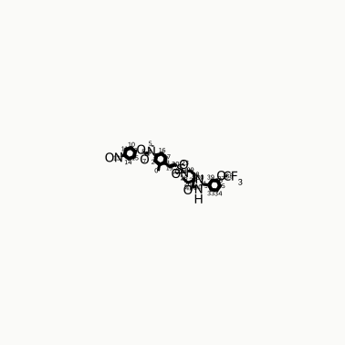 Cc1cc(N(C)C(=O)Oc2ccc(N=O)cc2)ccc1/C=C/S(=O)(=O)N1CCC2(CC1)N=C(c1cccc(OC(F)(F)F)c1)NC2=O